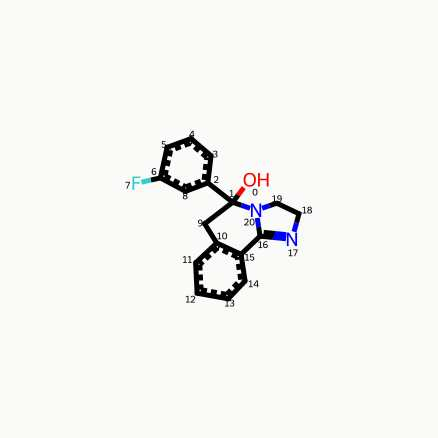 OC1(c2cccc(F)c2)Cc2ccccc2C2=NCCN21